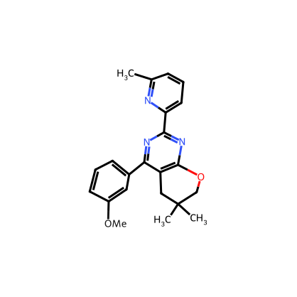 COc1cccc(-c2nc(-c3cccc(C)n3)nc3c2CC(C)(C)CO3)c1